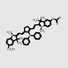 CCOC(=O)c1ccc2c(c1)C(C)(C)/C(=C\C=C1/CCC(/C=C/C3=[N+](C)c4ccc(OC(=O)CC)cc4C3(C)C)=C1N(c1ccccc1)c1ccccc1)N2C